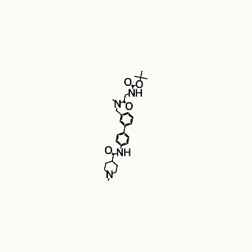 CN1CCC(C(=O)Nc2ccc(-c3cccc(CN(C)C(=O)CNC(=O)OC(C)(C)C)c3)cc2)CC1